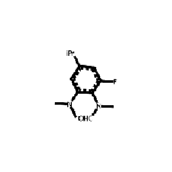 CC(C)c1cc(F)c(N(C)C=O)c(N(C)C)c1